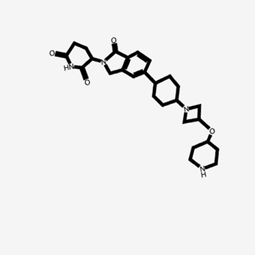 O=C1CCC(N2Cc3cc(C4CCC(N5CC(OC6CCNCC6)C5)CC4)ccc3C2=O)C(=O)N1